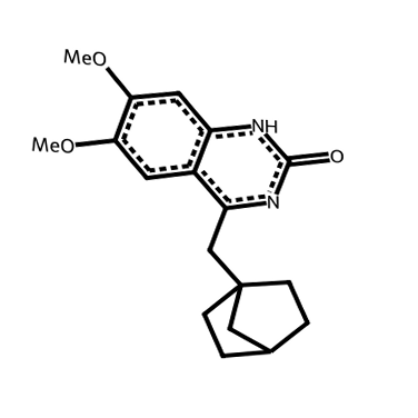 COc1cc2[nH]c(=O)nc(CC34CCC(CC3)C4)c2cc1OC